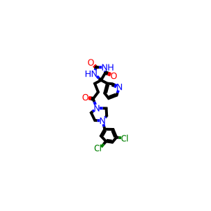 O=C1NC(=O)C(CCC(=O)N2CCN(c3cc(Cl)cc(Cl)c3)CC2)(c2cccnc2)N1